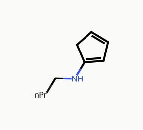 CCCCNC1=CC=CC1